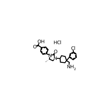 C[C@H]1CN(C2CCC(CN)(c3cccc(Cl)c3)CC2)C(=O)N1c1ccc(C(=O)O)cc1.Cl